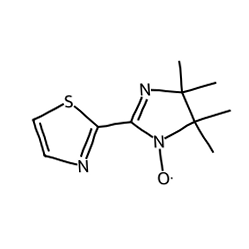 CC1(C)N=C(c2nccs2)N([O])C1(C)C